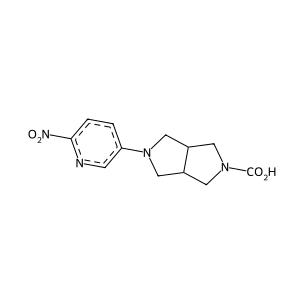 O=C(O)N1CC2CN(c3ccc([N+](=O)[O-])nc3)CC2C1